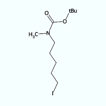 CN(CCCCCI)C(=O)OC(C)(C)C